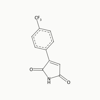 O=C1C=C(c2ccc(C(F)(F)F)cc2)C(=O)N1